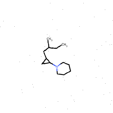 CCC(C)CC1CC1N1CCCCC1